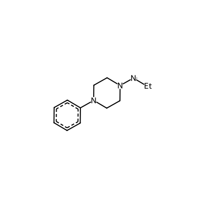 CC[N]N1CCN(c2ccccc2)CC1